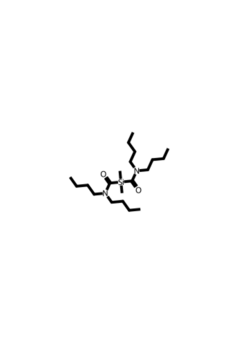 CCCCN(CCCC)C(=O)[Si](C)(C)C(=O)N(CCCC)CCCC